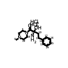 CN1CCN(C(=O)[C@](N)(O)CCc2ccccc2)CC1.Cl.Cl